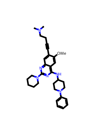 COc1cc2c(NC3CCN(c4ccccc4)CC3)nc(N3CCCCC3)nc2cc1C#CCCN(C)C